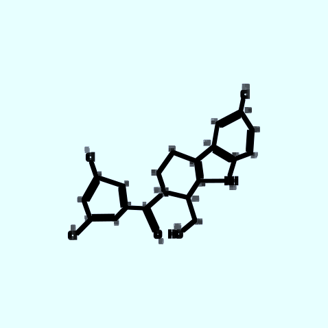 O=C(c1cc(Cl)cc(Cl)c1)N1CCc2c([nH]c3ccc(Cl)cc23)C1CO